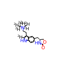 [2H]c1[nH]c2ccc(C[C@H]3COC(=O)N3)cc2c1CCN(C([2H])([2H])[2H])C([2H])([2H])[2H]